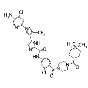 C[N+]1(C)CCC(C(=O)N2CCN(C(=O)c3ccc(NC(=O)c4ncc(-c5cn(-c6cc(Cl)c(N)cn6)nc5C(F)(F)F)[nH]4)cc3Cl)CC2)CC1